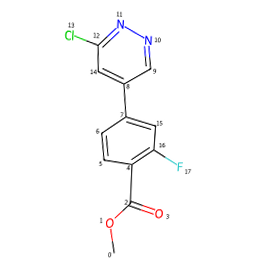 COC(=O)c1ccc(-c2cnnc(Cl)c2)cc1F